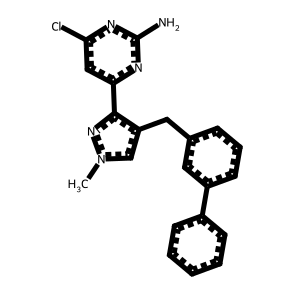 Cn1cc(Cc2cccc(-c3ccccc3)c2)c(-c2cc(Cl)nc(N)n2)n1